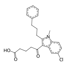 Cn1c(CCCc2ccccc2)c(C(=O)CCCC(=O)O)c2cc(Cl)ccc21